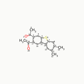 CC(=O)c1cc2sc3cc(C)c(C)cc3c2cc1C(C)=O